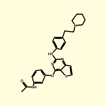 CC(=O)Nc1cccc(Oc2nc(Nc3ccc(CCN4CCCCC4)cc3)nc3ccsc23)c1